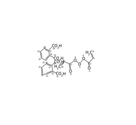 C=CC(=O)OOOC(=O)C=C.O=C(O)c1ccccc1C(=O)O.O=C(O)c1ccccc1C(=O)O